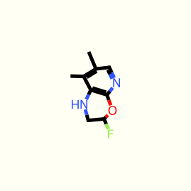 Cc1cnc2c(c1C)NCC(F)O2